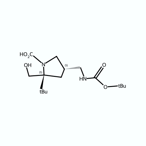 CC(C)(C)OC(=O)NC[C@H]1CN(C(=O)O)[C@](CO)(C(C)(C)C)C1